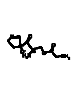 NCC(=O)OC[C@H](N)C(=O)[N+]1([O-])C=NCC1